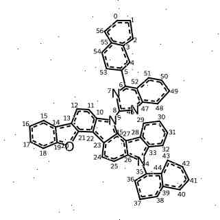 c1ccc2cc(-c3nc(-n4c5ccc6c7ccccc7oc6c5c5ccc6c(c7ccccc7n6-c6cccc7ccccc67)c54)nc4ccccc34)ccc2c1